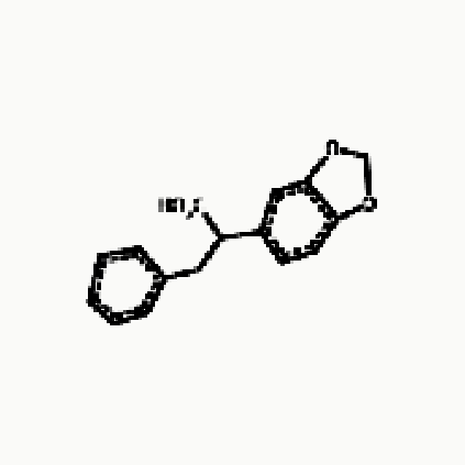 O=C(O)C(Cc1ccccc1)c1ccc2c(c1)OCO2